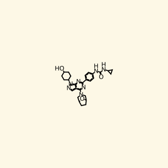 O=C(Nc1ccc(-c2nc(N3CC4CCC(C3)O4)c3cnn(C4CCC(O)CC4)c3n2)cc1)NC1CC1